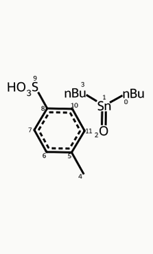 CCC[CH2][Sn](=[O])[CH2]CCC.Cc1ccc(S(=O)(=O)O)cc1